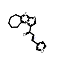 O=C(/C=C/c1ccoc1)c1cnc2sc3c(n12)CCCCC3